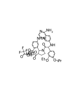 CCOc1cc(C(Nc2ccc3c(N)nccc3c2)C(=O)N2CCC(C(=O)OC)C2c2cc(NC(C)=O)ccc2S(=O)(=O)C(C)C)ccc1OC(C)C.O=C(O)C(F)(F)F